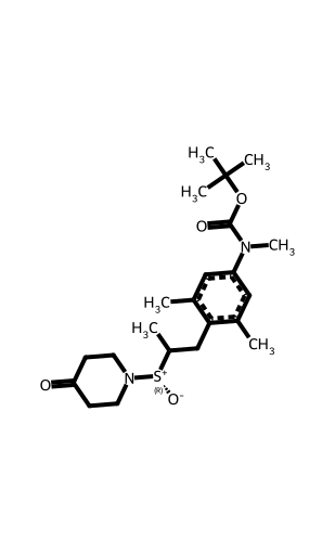 Cc1cc(N(C)C(=O)OC(C)(C)C)cc(C)c1CC(C)[S@+]([O-])N1CCC(=O)CC1